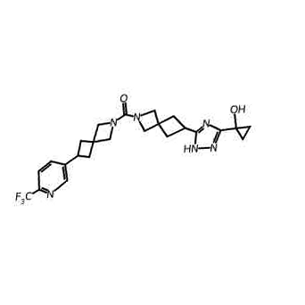 O=C(N1CC2(CC(c3ccc(C(F)(F)F)nc3)C2)C1)N1CC2(CC(c3nc(C4(O)CC4)n[nH]3)C2)C1